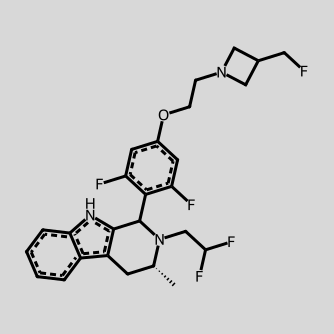 C[C@@H]1Cc2c([nH]c3ccccc23)C(c2c(F)cc(OCCN3CC(CF)C3)cc2F)N1CC(F)F